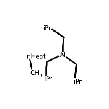 CC(C)[CH2][Al]([CH2]C(C)C)[CH2]C(C)C.CCCCCCCC